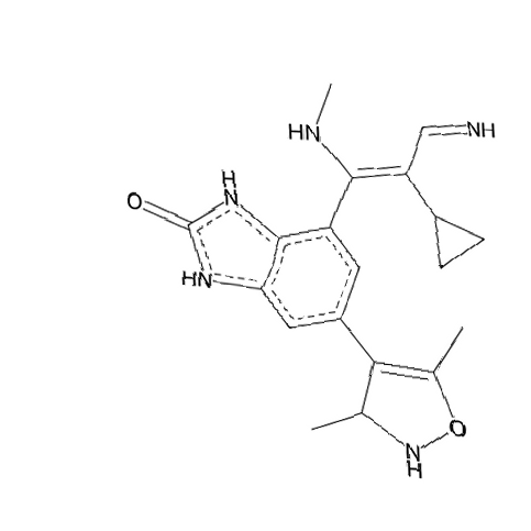 CN/C(=C(\C=N)C1CC1)c1cc(C2=C(C)ONC2C)cc2[nH]c(=O)[nH]c12